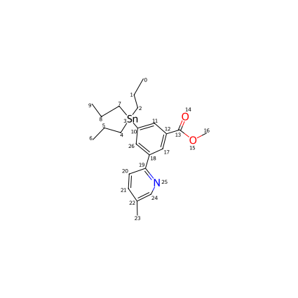 CC[CH2][Sn]([CH2]CC)([CH2]CC)[c]1cc(C(=O)OC)cc(-c2ccc(C)cn2)c1